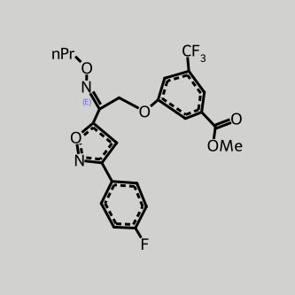 CCCO/N=C(\COc1cc(C(=O)OC)cc(C(F)(F)F)c1)c1cc(-c2ccc(F)cc2)no1